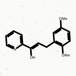 COc1ccc(OC)c(C/C=C(\O)c2ccccn2)c1